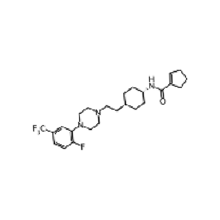 O=C(N[C@H]1CC[C@H](CCN2CCN(c3cc(C(F)(F)F)ccc3F)CC2)CC1)C1=CCCC1